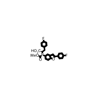 COC(=O)N(c1ccc2oc(-c3ccc(F)cc3)cc2c1)[C@H](Cc1ccc(F)cc1)C(=O)O